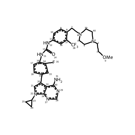 COCCN1CCN(Cc2ccc(NC(=O)Nc3ccc(-c4cn(C5CC5)c5ncnc(N)c45)cc3F)cc2C(F)(F)F)CC1